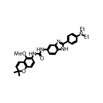 CCN(CC)c1ccc(-c2nc3cc(NC(=O)Nc4ccc5c(c4OC)C=CC(C)(C)O5)ccc3[nH]2)cc1